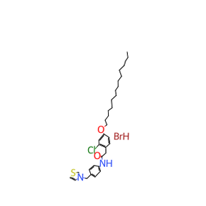 Br.CCCCCCCCCCCCCCCCOc1ccc(CC(=O)Nc2ccc(CN3C=CSC3)cc2)c(Cl)c1